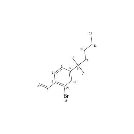 C=Cc1ccc(C(C)(C)CCCC)cc1Br